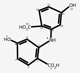 O=C(O)c1ccc(O)cc1Nc1cc(O)ccc1C(=O)O